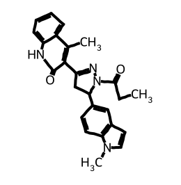 CCC(=O)N1N=C(c2c(C)c3ccccc3[nH]c2=O)CC1c1ccc2c(ccn2C)c1